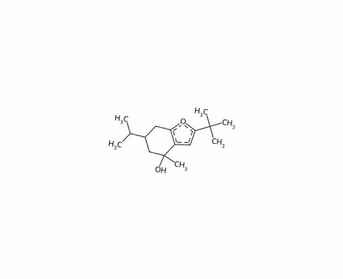 CC(C)C1Cc2oc(C(C)(C)C)cc2C(C)(O)C1